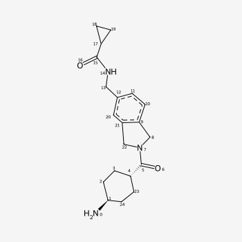 N[C@H]1CC[C@H](C(=O)N2Cc3ccc(CNC(=O)C4CC4)cc3C2)CC1